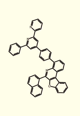 c1ccc(-c2cc(-c3ccc(-c4cccc5c4nc(-c4cccc6ccccc46)c4oc6ccccc6c45)cc3)cc(-c3ccccn3)n2)cc1